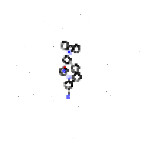 N#Cc1ccc2c(c1)c1ccccc1n2-c1ccccc1-c1ccccc1-c1cc(-n2c3ccccc3c3ccccc32)ccc1C#N